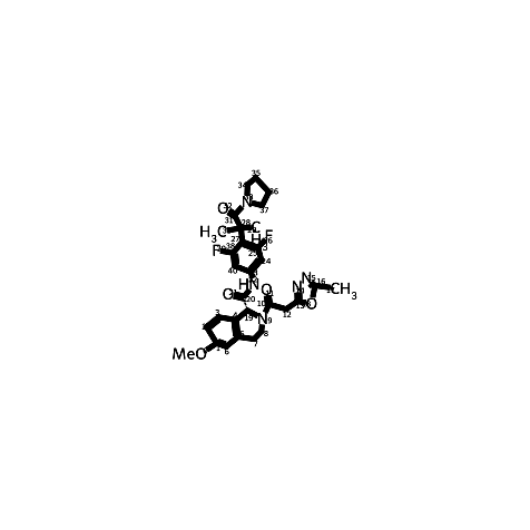 COc1ccc2c(c1)CCN(C(=O)Cc1nnc(C)o1)[C@H]2C(=O)Nc1cc(F)c(C(C)(C)C(=O)N2CCCC2)c(F)c1